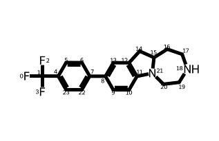 FC(F)(F)c1ccc(-c2ccc3c(c2)CC2CCNCCN32)cc1